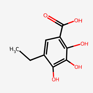 CCc1cc(C(=O)O)c(O)c(O)c1O